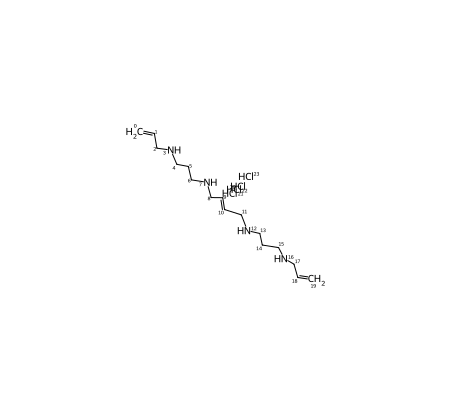 C=CCNCCCNCC=CCNCCCNCC=C.Cl.Cl.Cl.Cl